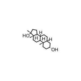 C[C@]12CC[C@@H](O)C[C@H]1CC[C@@H]1[C@@H]2CC[C@@]2(C)[C@H]1CC[C@@]2(C)O